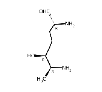 C[C@H](N)[C@@H](O)CC[C@@H](N)C=O